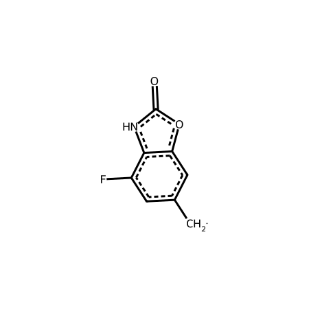 [CH2]c1cc(F)c2[nH]c(=O)oc2c1